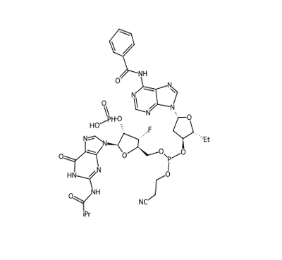 CC[C@H]1O[C@@H](n2cnc3c(NC(=O)c4ccccc4)ncnc32)C[C@@H]1OP(OCCC#N)OC[C@H]1O[C@@H](n2cnc3c(=O)[nH]c(NC(=O)C(C)C)nc32)[C@H](O[PH](=O)O)[C@@H]1F